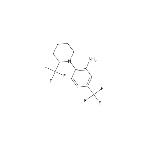 Nc1cc(C(F)(F)F)ccc1N1CCCCC1C(F)(F)F